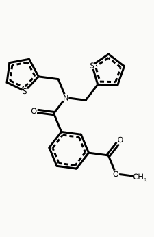 COC(=O)c1cccc(C(=O)N(Cc2cccs2)Cc2cccs2)c1